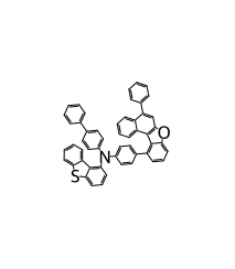 c1ccc(-c2ccc(N(c3ccc(-c4cccc5oc6cc(-c7ccccc7)c7ccccc7c6c45)cc3)c3cccc4sc5ccccc5c34)cc2)cc1